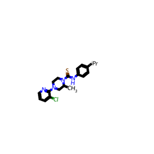 CC(C)c1ccc(NC(=S)N2CCN(c3ncccc3Cl)CC2C)cc1